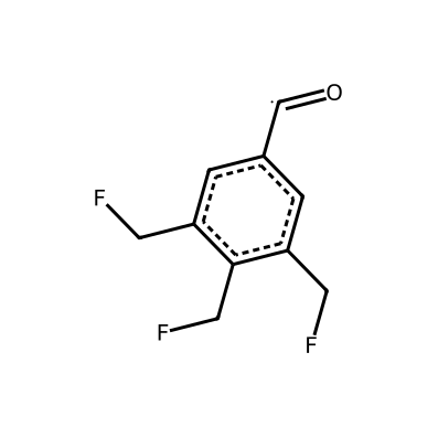 O=[C]c1cc(CF)c(CF)c(CF)c1